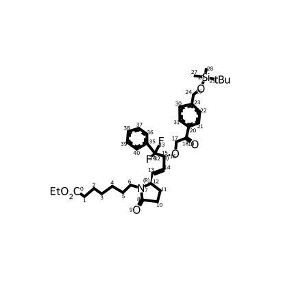 CCOC(=O)CCCCCCN1C(=O)CC[C@@H]1C=C[C@@H](OCC(=O)c1ccc(CO[Si](C)(C)C(C)(C)C)cc1)C(F)(F)c1ccccc1